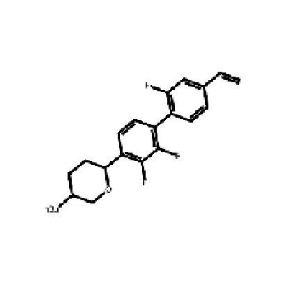 C=Cc1ccc(-c2ccc(C3CCC(CCCC)CO3)c(F)c2F)c(F)c1